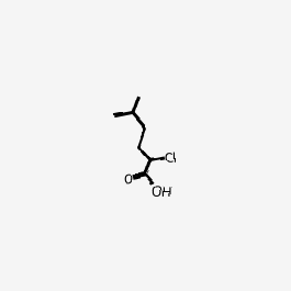 CC(C)CCC(Cl)C(=O)O